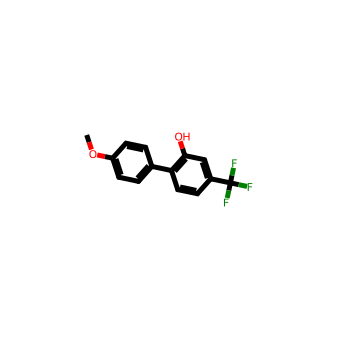 COc1ccc(-c2ccc(C(F)(F)F)cc2O)cc1